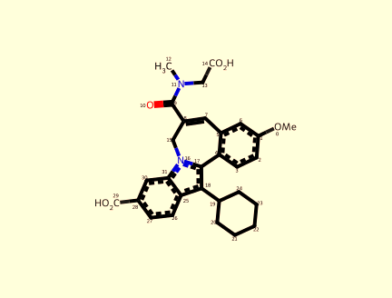 COc1ccc2c(c1)C=C(C(=O)N(C)CC(=O)O)Cn1c-2c(C2CCCCC2)c2ccc(C(=O)O)cc21